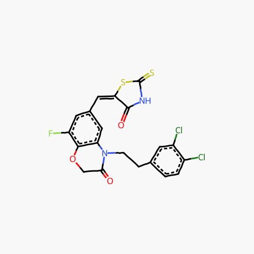 O=C1NC(=S)SC1=Cc1cc(F)c2c(c1)N(CCc1ccc(Cl)c(Cl)c1)C(=O)CO2